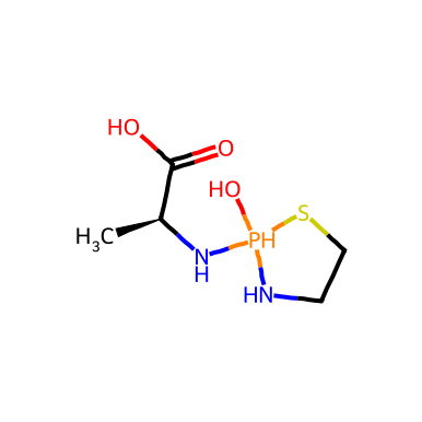 C[C@H](N[PH]1(O)NCCS1)C(=O)O